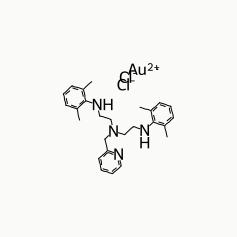 Cc1cccc(C)c1NCCN(CCNc1c(C)cccc1C)Cc1ccccn1.[Au+2].[Cl-].[Cl-]